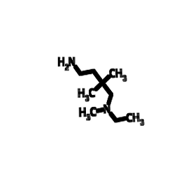 CCN(C)CC(C)(C)CCN